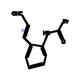 CC(C)C(=O)Nc1ccccc1/C=C/[C]=O